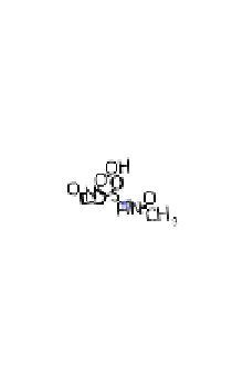 CC(=O)N/C=C/SC1=C(OC(=O)O)N2C(=O)CC2C1